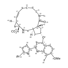 COc1ccc2c(O[C@@H]3C[C@H]4CN[C@]5(C(=O)O)C[C@H]5/C=C\CCCCN(C)C(=O)[C@@H]4C3)cc(-c3nc(C(C)C)cs3)nc2c1F